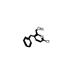 OCc1nc(Cl)ccc1Cc1ccccc1